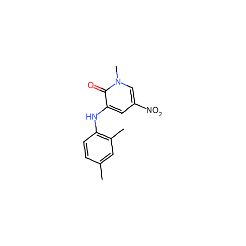 Cc1ccc(Nc2cc([N+](=O)[O-])cn(C)c2=O)c(C)c1